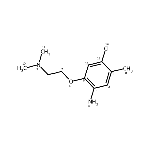 Cc1cc(N)c(OCCN(C)C)cc1Cl